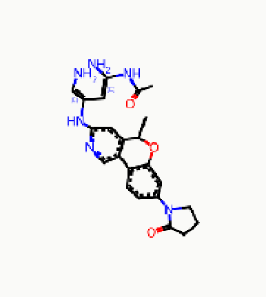 CC(=O)N/C(N)=C/C(=C\N)Nc1cc2c(cn1)-c1ccc(N3CCCC3=O)cc1OC2C